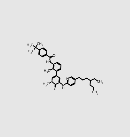 CCCC(CC)CCCc1ccc(Nc2cc(-c3cccc(NC(=O)c4ccc(C(C)(C)C)cc4)c3C)cn(C)c2=O)nc1